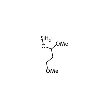 COCCC(OC)O[SiH2]